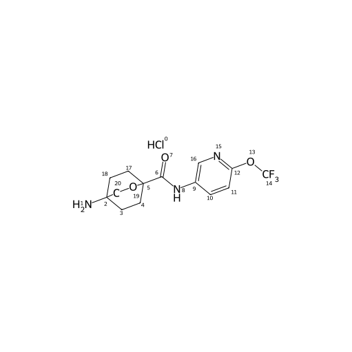 Cl.NC12CCC(C(=O)Nc3ccc(OC(F)(F)F)nc3)(CC1)OC2